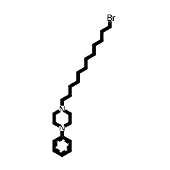 BrCCCCCCCCCCCCN1CCN(c2ccccc2)CC1